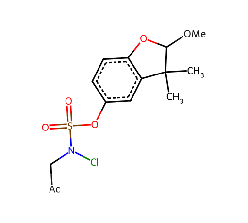 COC1Oc2ccc(OS(=O)(=O)N(Cl)CC(C)=O)cc2C1(C)C